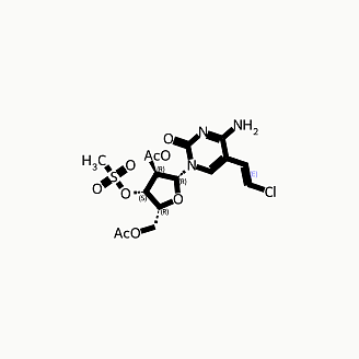 CC(=O)OC[C@H]1O[C@@H](n2cc(/C=C/Cl)c(N)nc2=O)[C@H](OC(C)=O)[C@H]1OS(C)(=O)=O